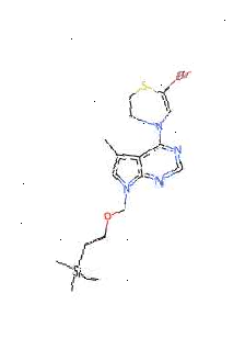 Cc1cn(COCC[Si](C)(C)C)c2ncnc(N3C=C(Br)SCC3)c12